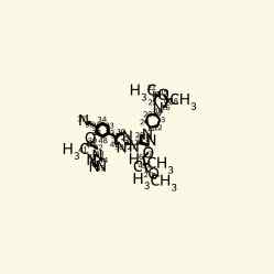 COCC(C)(C)COc1nn([C@H]2CC[C@H](N3C[C@@H](C)O[C@@H](C)C3)CC2)cc1Nc1ncc(-c2ccc(C#N)c(O[C@@H](C)Cn3cnnn3)c2)cn1